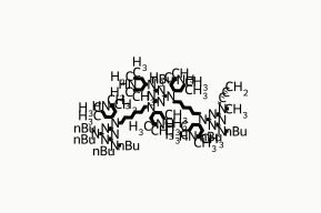 C=C=C=CN(C)c1nc(N(CCCC)CCCC)nc(N(CCCCCCN(c2nc(N(CCCC)C3CC(C)(C)NC(C)(C)C3)nc(N(CCCCCCN(c3nc(N(CCCC)CCCC)nc(N(CCCC)CCCC)n3)C3CC(C)(C)NC(C)(C)C3)C3CC(C)(C)NC(C)(C)C3)n2)C2CC(C)(C)NC(C)(C)C2)C2CC(C)(C)NC(C)(C)C2)n1